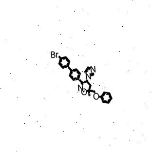 CC1(COc2ccccc2)CC(n2ccnc2)C(c2ccc(-c3ccc(Br)cc3)cc2)=NO1